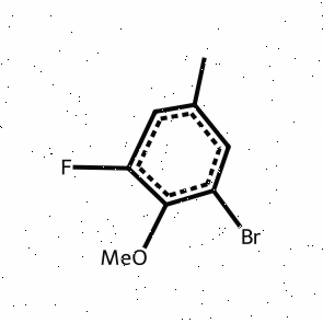 COc1c(F)cc(C)cc1Br